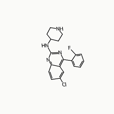 Fc1ccccc1-c1nc(NC2CCNCC2)nc2ccc(Cl)cc12